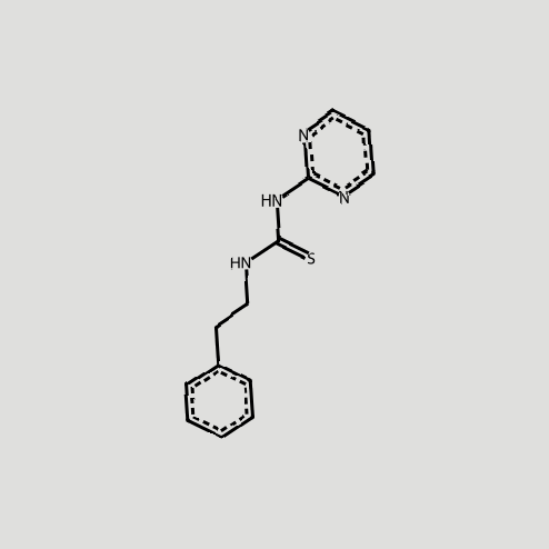 S=C(NCCc1ccccc1)Nc1ncccn1